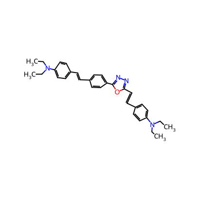 CCN(CC)c1ccc(C=Cc2ccc(-c3nnc(C=Cc4ccc(N(CC)CC)cc4)o3)cc2)cc1